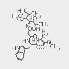 COC(=O)[C@H](C)NC(=O)[C@H](Cc1c[nH]c2ccccc12)NC(=O)CO/N=C(/[C@@H](OC)C(C)C)[C@@H](O)[C@@H](C)O